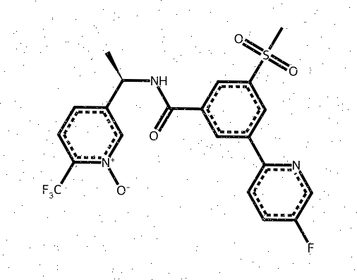 C[C@@H](NC(=O)c1cc(-c2ccc(F)cn2)cc(S(C)(=O)=O)c1)c1ccc(C(F)(F)F)[n+]([O-])c1